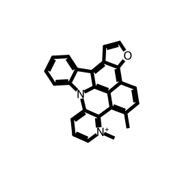 Cc1ccc2c3occc3c3c4ccccc4n4c5ccc[n+](C)c5c1c2c34